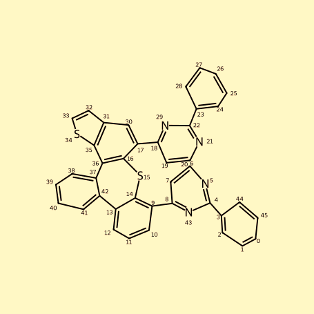 c1ccc(-c2nccc(-c3cccc4c3Sc3c(-c5ccnc(-c6ccccc6)n5)cc5ccsc5c3-c3ccccc3-4)n2)cc1